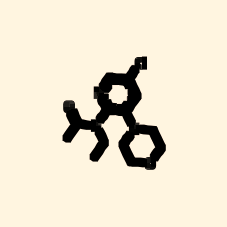 CCN(C(C)=O)c1ncc(Cl)cc1N1CCOCC1